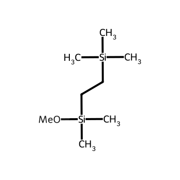 CO[Si](C)(C)CC[Si](C)(C)C